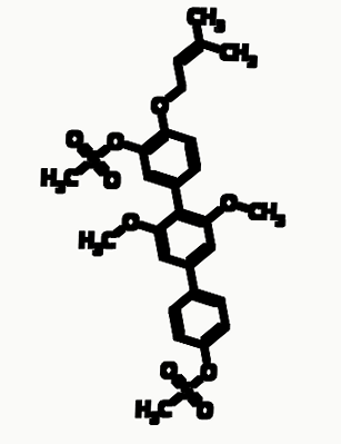 COc1cc(-c2ccc(OS(C)(=O)=O)cc2)cc(OC)c1-c1ccc(OCC=C(C)C)c(OS(C)(=O)=O)c1